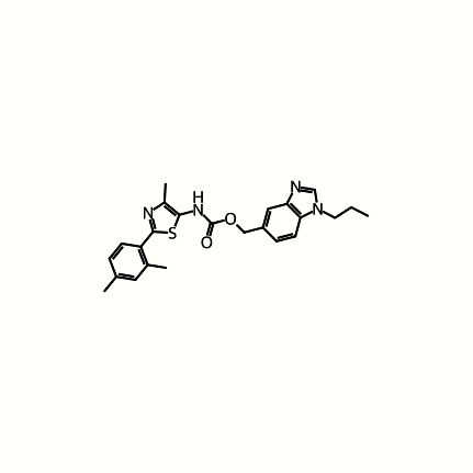 CCCn1cnc2cc(COC(=O)Nc3sc(-c4ccc(C)cc4C)nc3C)ccc21